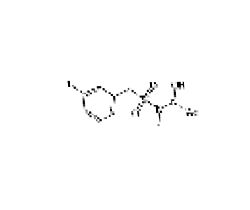 CC(=O)N(O)N(C)S(=O)(=O)Cc1cccc(I)c1